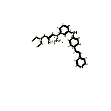 CCN(CC)C/C(N)=C/N(N)c1cccc(Nc2ccc(/C=C/c3ccncc3)cc2)c1